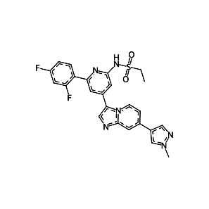 CCS(=O)(=O)Nc1cc(-c2cnc3cc(-c4cnn(C)c4)ccn23)cc(-c2ccc(F)cc2F)n1